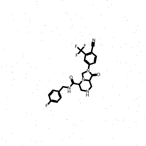 N#Cc1ccc(N2CN3C(C(=O)NCc4ccc(F)cc4)CNCC3C2=O)cc1C(F)(F)F